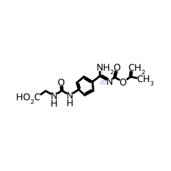 C=C(C)OC(=O)/N=C(\N)c1ccc(NC(=O)NCC(=O)O)cc1